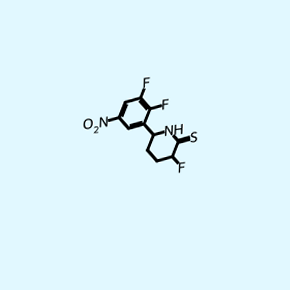 O=[N+]([O-])c1cc(F)c(F)c(C2CCC(F)C(=S)N2)c1